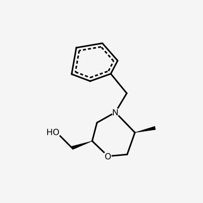 C[C@H]1CO[C@@H](CO)CN1Cc1ccccc1